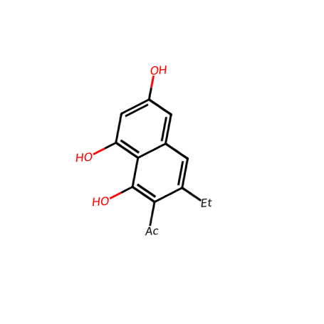 CCc1cc2cc(O)cc(O)c2c(O)c1C(C)=O